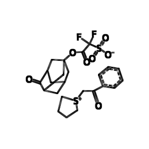 O=C(C[S+]1CCCC1)c1ccccc1.O=C1C2CC3CC1CC(OC(=O)C(F)(F)S(=O)(=O)[O-])(C3)C2